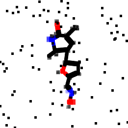 CCc1cc(-c2ccc(/C=N/O)o2)c(C)[nH]c1=O